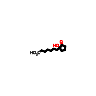 O=C(O)CCCCCC[C@]1(O)CCCC1=O